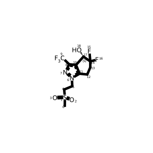 CS(=O)(=O)CCn1nc(C(F)(F)F)c2c1CCC(F)(F)[C@H]2O